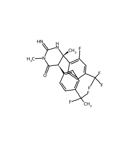 CN1C(=N)N[C@](C)(c2ccc(C(F)(F)F)cc2F)[C@@H](c2ccc(C(C)(F)F)cc2)C1=O